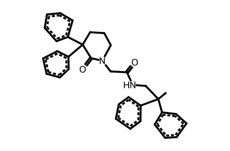 CC(CNC(=O)CN1CCCC(c2ccccc2)(c2ccccc2)C1=O)(c1ccccc1)c1ccccc1